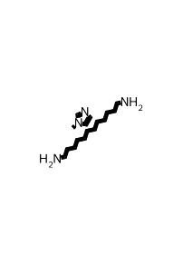 Cn1ccnc1.NCCCCCCCCCCCCN